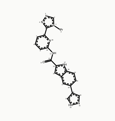 CC(C)n1cnnc1-c1cccc(NC(=O)c2cc3cc(-c4cn[nH]c4)ccc3[nH]2)n1